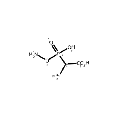 CCCC(C(=O)O)P(=O)(O)ON